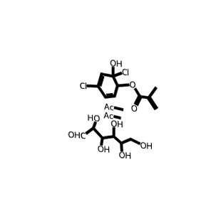 C=C(C)C(=O)OC1C=CC(Cl)=CC1(O)Cl.CC(C)=O.CC(C)=O.O=CC(O)C(O)C(O)C(O)CO